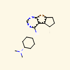 C[C@H]1CCc2sc3ncnc(N[C@H]4CC[C@H](N(C)C)CC4)c3c21